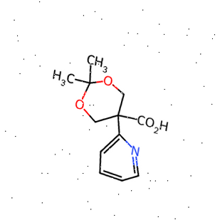 CC1(C)OCC(C(=O)O)(c2ccccn2)CO1